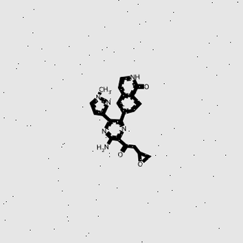 Cn1ccc(-c2nc(N)c(C(=O)CC3CO3)nc2-c2ccc3c(=O)[nH]ccc3c2)n1